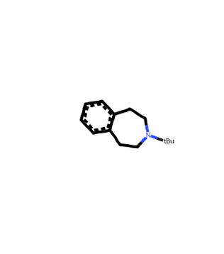 CC(C)(C)N1CCc2ccccc2CC1